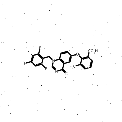 O=C(O)c1cccc(C(F)(F)F)c1Oc1ccc2c(c1)c(=O)ncn2Cc1c(F)cc(F)cc1F